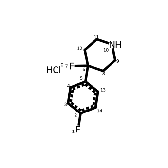 Cl.Fc1ccc(C2(F)CCNCC2)cc1